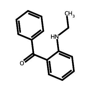 CCNc1ccccc1C(=O)c1ccccc1